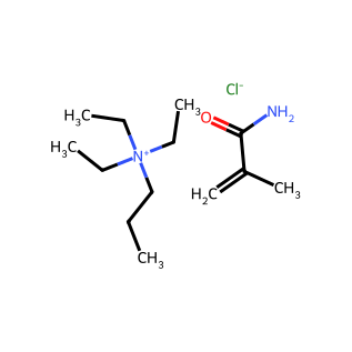 C=C(C)C(N)=O.CCC[N+](CC)(CC)CC.[Cl-]